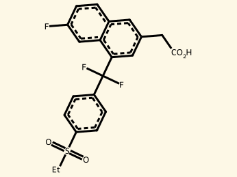 CCS(=O)(=O)c1ccc(C(F)(F)c2cc(CC(=O)O)cc3ccc(F)cc23)cc1